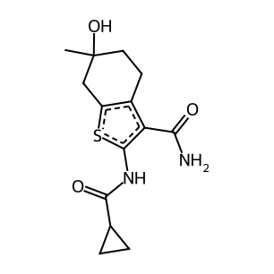 CC1(O)CCc2c(sc(NC(=O)C3CC3)c2C(N)=O)C1